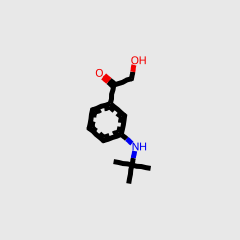 CC(C)(C)Nc1cccc(C(=O)CO)c1